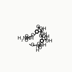 CCOCCNS(=O)(=O)Nc1ccc(C(=O)O)c(C(=O)O)c1.NS(=O)(=O)NCCOCc1ccc(C(=O)O)c(C(=O)O)c1